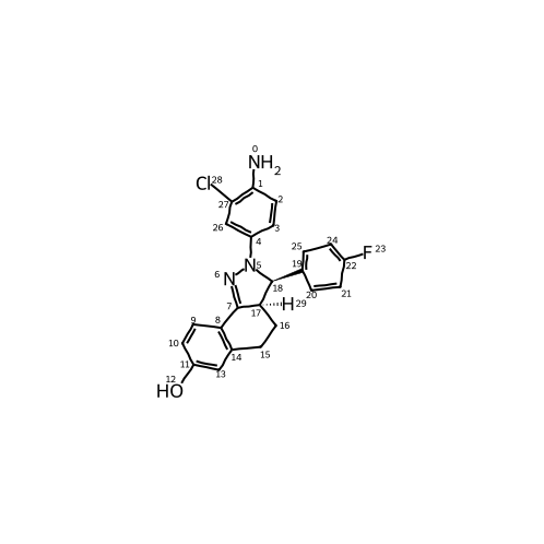 Nc1ccc(N2N=C3c4ccc(O)cc4CC[C@@H]3[C@@H]2c2ccc(F)cc2)cc1Cl